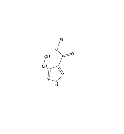 CCOC(=O)c1cn[nH]c1.CO